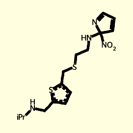 CC(C)NCc1ccc(CSCCNC2([N+](=O)[O-])C=CC=N2)s1